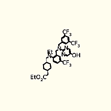 CCOC(=O)C[C@H]1CC[C@H](CN(CC)c2ccc(C(F)(F)F)cc2CN(Cc2cc(C(F)(F)F)cc(C(F)(F)F)c2)c2ncc(O)cn2)CC1